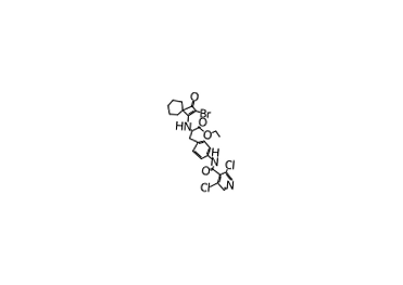 CCOC(=O)C(Cc1ccc(NC(=O)c2c(Cl)cncc2Cl)cc1)NC1=C(Br)C(=O)C12CCCCC2